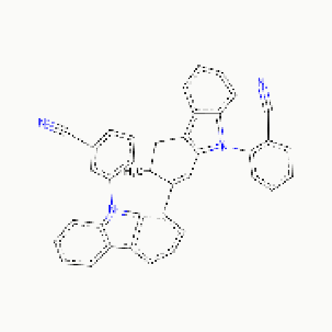 CC1Cc2c(n(-c3ccccc3C#N)c3ccccc23)C=C1c1cccc2c3ccccc3n(-c3cccc(C#N)c3)c12